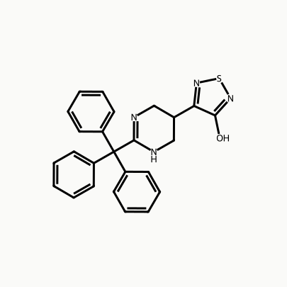 Oc1nsnc1C1CN=C(C(c2ccccc2)(c2ccccc2)c2ccccc2)NC1